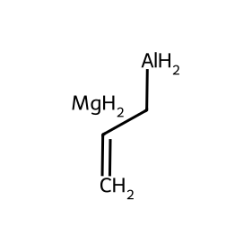 C=C[CH2][AlH2].[MgH2]